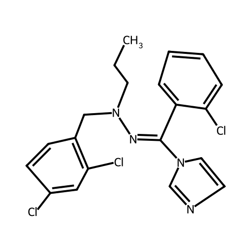 CCCN(Cc1ccc(Cl)cc1Cl)/N=C(\c1ccccc1Cl)n1ccnc1